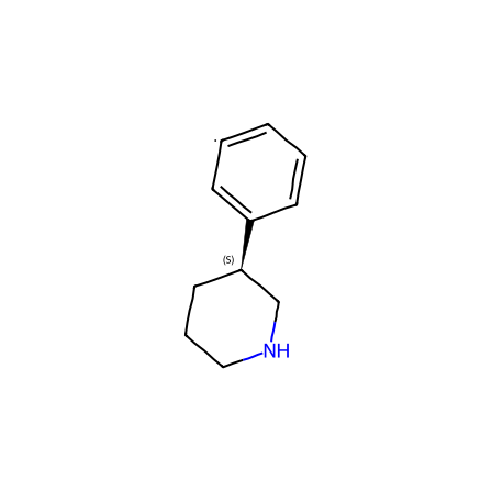 [c]1cccc([C@@H]2CCCNC2)c1